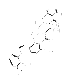 COc1cccc(C/C=C\c2ccc(O)c3c2C[C@H]2C[C@H]4CC(O)=C(C(N)=O)C(=O)[C@@]4(O)C(O)=C2C3=O)c1O